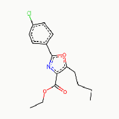 CCCCc1oc(-c2ccc(Cl)cc2)nc1C(=O)OCC